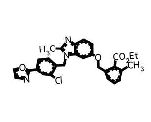 CCOC(=O)c1c(C)cccc1COc1ccc2nc(C)n(Cc3ccc(-c4ncco4)cc3Cl)c2c1